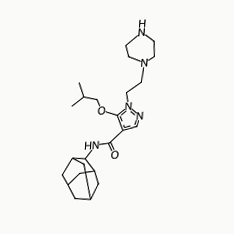 CC(C)COc1c(C(=O)NC2C3CC4CC(C3)CC2C4)cnn1CCN1CCNCC1